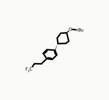 CCCCO[C@H]1CC[C@H](c2ccc(CCC(F)(F)F)cc2)CC1